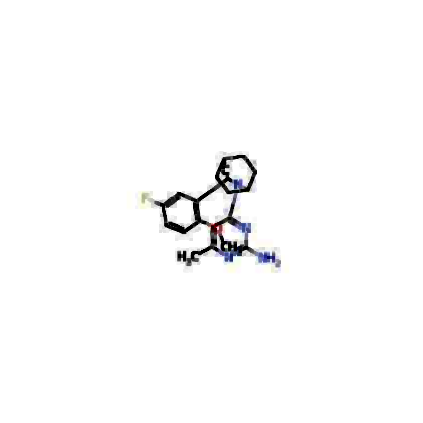 COc1ccc(F)cc1C1CC2CCC(CC2)N1c1cc(C)nc(N)n1